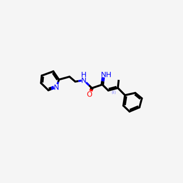 C/C(=C\C(=N)C(=O)NCCc1ccccn1)c1ccccc1